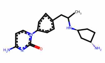 CC(Cc1ccc(-n2ccc(N)nc2=O)cc1)N[C@H]1CC[C@H](N)C1